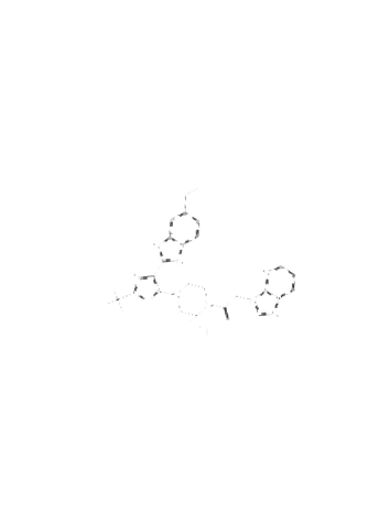 C[C@@H]1CN(c2sc(C(F)(F)F)nc2-c2nc3ccc(CO)cc3[nH]2)CCN1C(=O)Cn1cnc2cccnc21